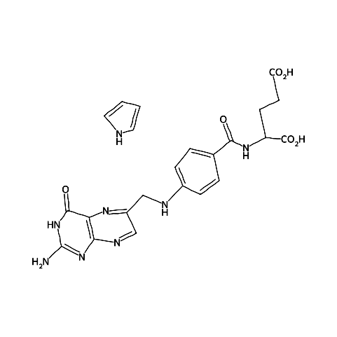 Nc1nc2ncc(CNc3ccc(C(=O)NC(CCC(=O)O)C(=O)O)cc3)nc2c(=O)[nH]1.c1cc[nH]c1